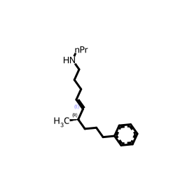 CCCNCCC/C=C/[C@H](C)CCCc1ccccc1